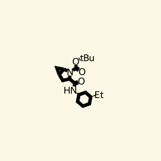 CC[C@@H]1CCC[C@H](NC(=O)C2CC3CC3N2C(=O)OC(C)(C)C)C1